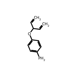 C=CC(C=C)Oc1ccc(P)cc1